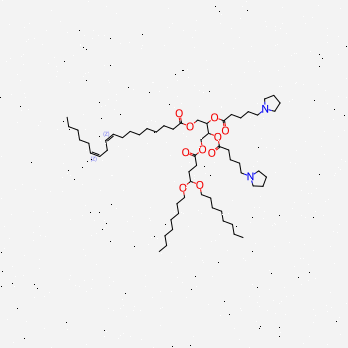 CCCCC/C=C\C/C=C\CCCCCCCC(=O)OCC(OC(=O)CCCCN1CCCC1)C(COC(=O)CCC(OCCCCCCCC)OCCCCCCCC)OC(=O)CCCCN1CCCC1